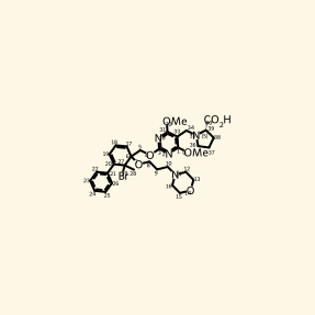 COc1nc(OCC2(OCCCN3CCOCC3)C=CC=C(c3ccccc3)C2(C)Br)nc(OC)c1CN1CCC[C@H]1C(=O)O